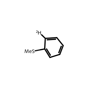 [2H]c1ccccc1SC